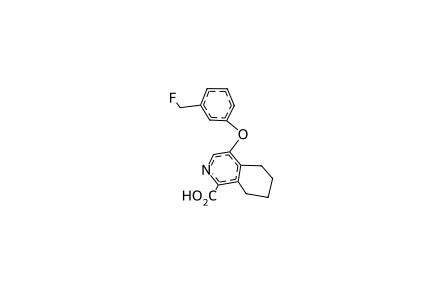 O=C(O)c1ncc(Oc2cccc(CF)c2)c2c1CCCC2